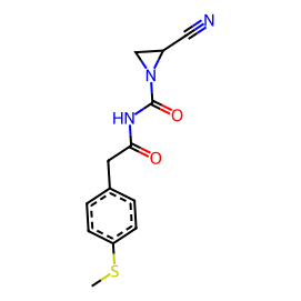 CSc1ccc(CC(=O)NC(=O)N2CC2C#N)cc1